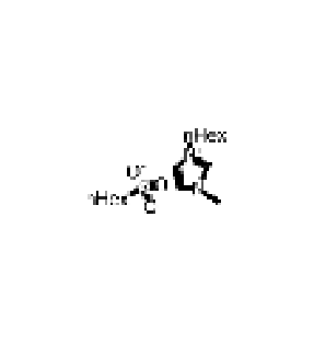 CCCCCCS(=O)(=O)[O-].CCCCCC[n+]1ccn(C)c1